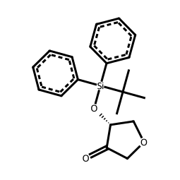 CC(C)(C)[Si](O[C@@H]1COCC1=O)(c1ccccc1)c1ccccc1